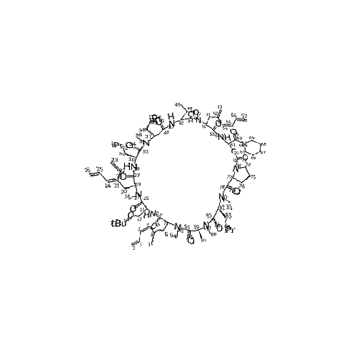 C=C/C=C\C(=C)CC1C(=O)NC(COC(C)(C)C)C(=O)N(C)[C@@H](C/C(C=C)=C/C=C)C(=O)N[C@@H](CC(C)C)C(=O)N(C)C(CC(C)C)C(=O)NC2C(=O)N(OC2C)C(CC(=C)/C=C\C=C)C(=O)NC(C(=O)N2CCCCC2)CC(=O)N2CCCC2C(=O)N(C)[C@@H](CC(C)C)C(=O)N(C)[C@@H](C)C(=O)N1C